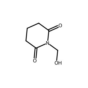 O=C1CCCC(=O)N1CO